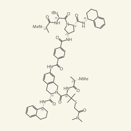 CN[C@@H](C)C(=O)N[C@H](C(=O)N1C[C@@H](NC(=O)c2ccc(C(=O)Nc3ccc4c(c3)CN(C(=O)[C@@H](NC(=O)[C@H](C)NC)C(C)(C)SCC(=O)N(C)C)[C@H](C(=O)N[C@@H]3CCCc5ccccc53)C4)cc2)C[C@H]1C(=O)N[C@@H]1CCCc2ccccc21)C(C)(C)C